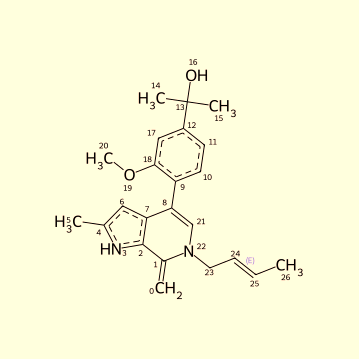 C=C1c2[nH]c(C)cc2C(c2ccc(C(C)(C)O)cc2OC)=CN1C/C=C/C